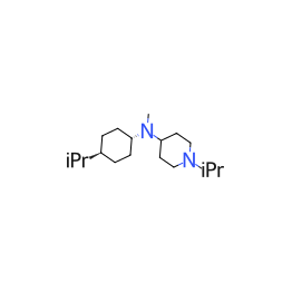 CC(C)N1CCC(N(C)[C@H]2CC[C@H](C(C)C)CC2)CC1